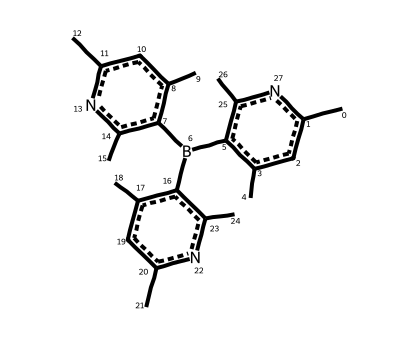 Cc1cc(C)c(B(c2c(C)cc(C)nc2C)c2c(C)cc(C)nc2C)c(C)n1